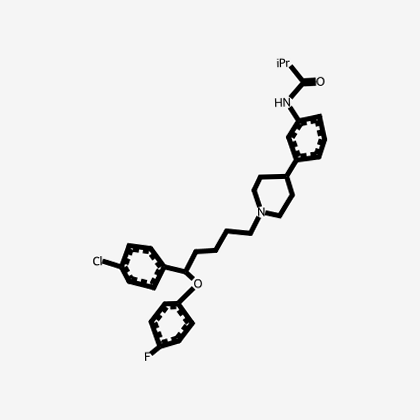 CC(C)C(=O)Nc1cccc(C2CCN(CCCCC(Oc3ccc(F)cc3)c3ccc(Cl)cc3)CC2)c1